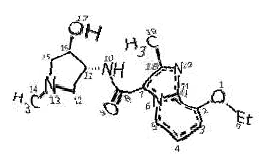 CCOc1cccn2c(C(=O)N[C@@H]3CN(C)C[C@H]3O)c(C)nc12